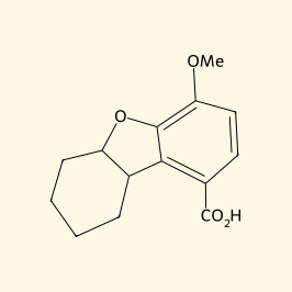 COc1ccc(C(=O)O)c2c1OC1CCCCC21